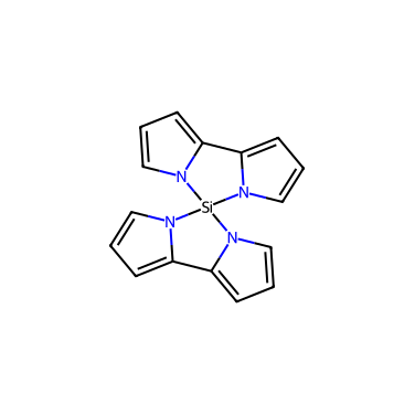 c1cc2n(c1)[Si]1(n3cccc3-2)n2cccc2-c2cccn21